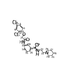 O=C(COc1ccc(Cl)cc1Cl)Nc1cccc(C(=O)NCCN2CCCCC2)c1